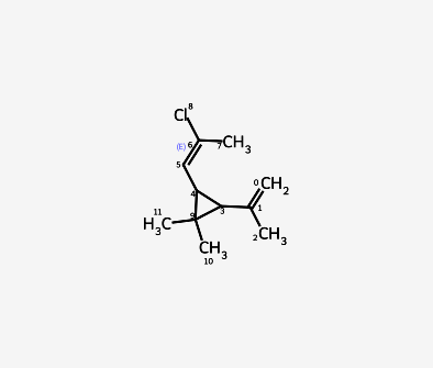 C=C(C)C1C(/C=C(\C)Cl)C1(C)C